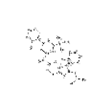 CC(C)(N)C(=O)N[C@H](COc1ccccc1Cl)C(=O)N1CCC2=NN(CC(F)F)C(=O)[C@]2(Cc2ccccn2)C1